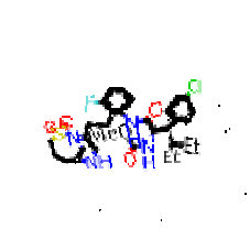 CCC(CC)[C@H](c1ccc(Cl)cc1)[C@H](NC(=O)OC)C(=O)Nc1cccc(F)c1CCC1CNC2CCCS(=O)(=O)N1C2